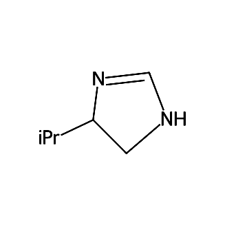 CC(C)C1CNC=N1